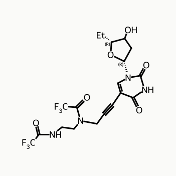 CC[C@H]1O[C@@H](n2cc(C#CCN(CCNC(=O)C(F)(F)F)C(=O)C(F)(F)F)c(=O)[nH]c2=O)CC1O